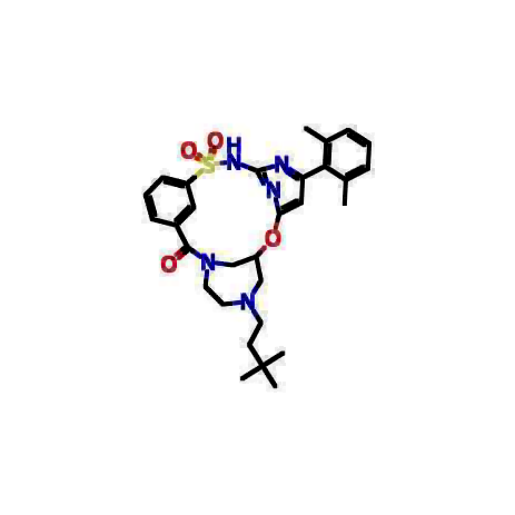 Cc1cccc(C)c1-c1cc2nc(n1)NS(=O)(=O)c1cccc(c1)C(=O)N1CCN(CCC(C)(C)C)CC(C1)O2